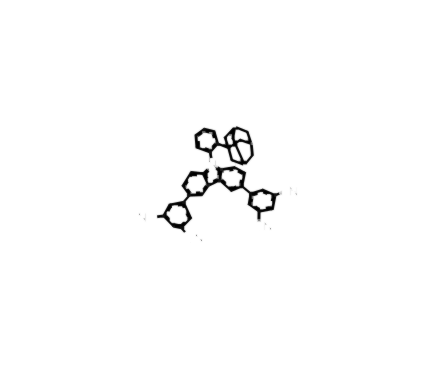 N#Cc1cc(C#N)cc(-c2ccc3c(c2)c2cc(-c4cc(C#N)cc(C#N)c4)ccc2n3-c2ccccc2C23CC4CC(CC(C4)C2)C3)c1